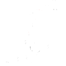 CC(C)(C)Oc1ccc2c(c1)CC[C@H](c1ccccc1)[C@@H]2c1ccc(OCC2CC[C@H](COCc3ccccc3)O2)cc1